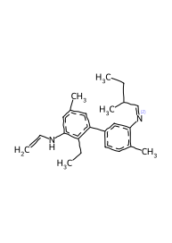 C=CNc1cc(C)cc(-c2ccc(C)c(/N=C\C(C)CC)c2)c1CC